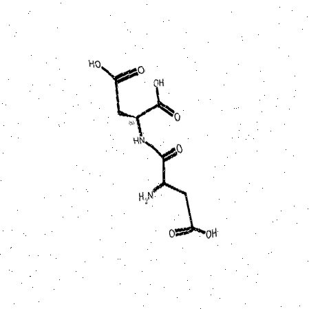 NC(CC(=O)O)C(=O)N[C@@H](CC(=O)O)C(=O)O